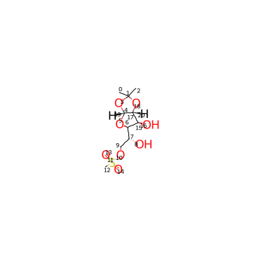 CC1(C)O[C@H]2O[C@H]([C@H](O)COS(C)(=O)=O)[C@H](O)[C@H]2O1